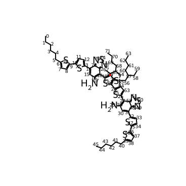 CCCCCCc1ccc(-c2ccc(-c3cc(N)c(-c4cc5c(s4)-c4sc(-c6c(N)cc(-c7ccc(-c8ccc(CCCCCC)s8)s7)c7nsnc67)cc4[Si]5(CC(CC)CCCC)CC(CC)CCCC)c4nsnc34)s2)s1